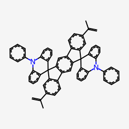 C=C(C)c1ccc2c(c1)C1(c3cc4c(cc3-2)C2(c3cc(C(=C)C)ccc3-4)c3ccccc3N(c3ccccc3)c3ccccc32)c2ccccc2N(c2ccccc2)c2ccccc21